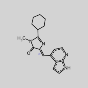 CN1C(=O)/C(=C/c2ccnc3[nH]ccc23)N=C1C1CCCCC1